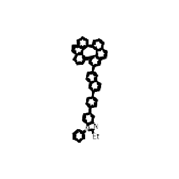 CCc1nc2cc(-c3ccc(-c4ccc5cc(-c6cc7ccc8cccc9c%10cccc%11ccc%12cccc(c(c6)c7c89)c%12c%11%10)ccc5c4)cc3)ccc2n1-c1ccccc1